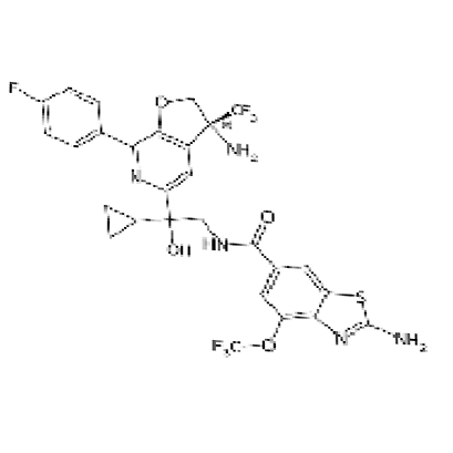 Nc1nc2c(OC(F)(F)F)cc(C(=O)NCC(O)(c3cc4c(c(-c5ccc(F)cc5)n3)OC[C@@]4(N)C(F)(F)F)C3CC3)cc2s1